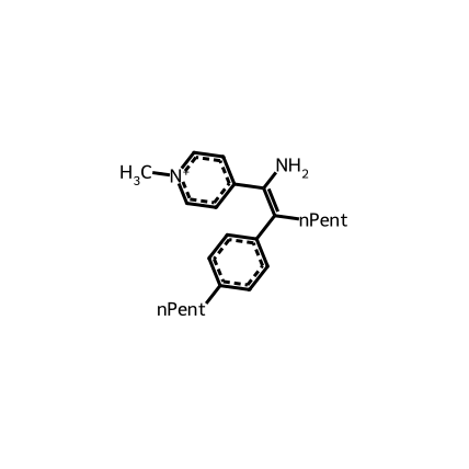 CCCCCC(=C(N)c1cc[n+](C)cc1)c1ccc(CCCCC)cc1